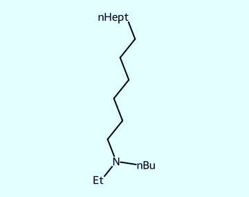 CCCCCCCCCCCCCN(CC)CCCC